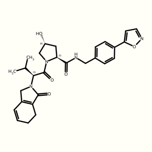 CC(C)[C@@H](C(=O)N1C[C@H](O)C[C@H]1C(=O)NCc1ccc(-c2ccno2)cc1)N1CC2=C(CCC=C2)C1=O